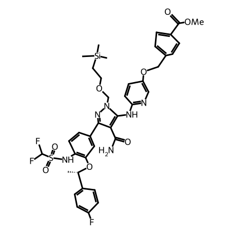 COC(=O)c1ccc(COc2ccc(Nc3c(C(N)=O)c(-c4ccc(NS(=O)(=O)C(F)F)c(O[C@@H](C)c5ccc(F)cc5)c4)nn3COCC[Si](C)(C)C)nc2)cc1